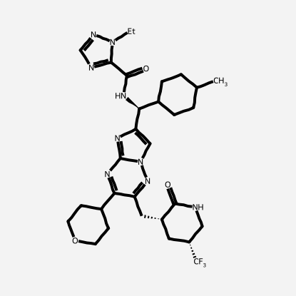 CCn1ncnc1C(=O)N[C@H](c1cn2nc(C[C@H]3C[C@@H](C(F)(F)F)CNC3=O)c(C3CCOCC3)nc2n1)C1CCC(C)CC1